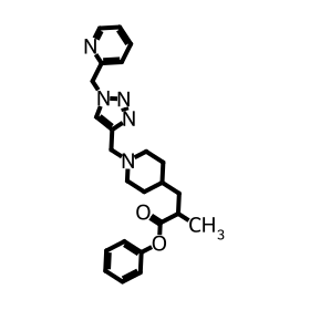 CC(CC1CCN(Cc2cn(Cc3ccccn3)nn2)CC1)C(=O)Oc1ccccc1